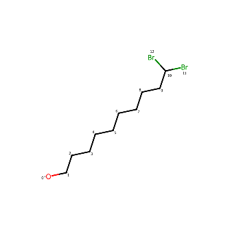 [O]CCCCCCCCCC(Br)Br